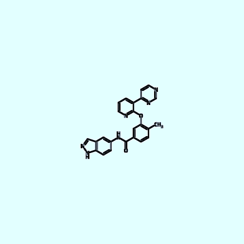 Cc1ccc(C(=O)Nc2ccc3[nH]ncc3c2)cc1Oc1ncccc1-c1ccncn1